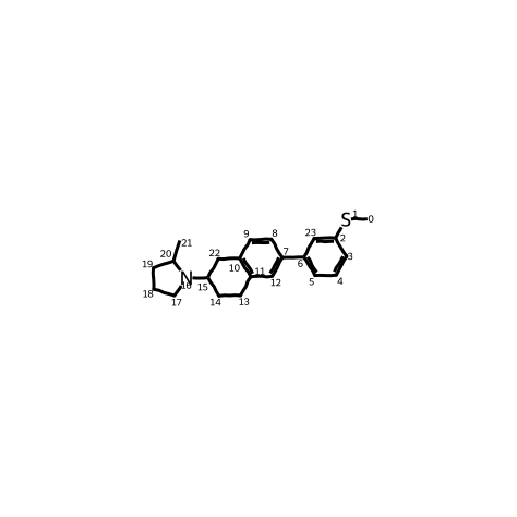 CSc1cccc(-c2ccc3c(c2)CCC(N2CCCC2C)C3)c1